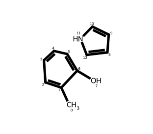 Cc1ccccc1O.c1cc[nH]c1